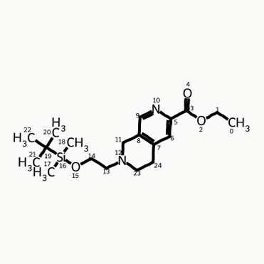 CCOC(=O)c1cc2c(cn1)CN(CCO[Si](C)(C)C(C)(C)C)CC2